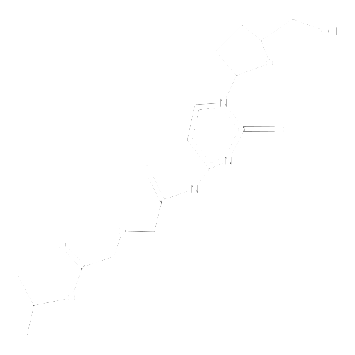 CC(C)OC(=O)COCC(=O)Nc1ccn(C2CCC(CO)O2)c(=O)n1